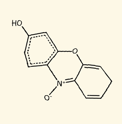 [O-][N+]1=C2C=CCC=C2Oc2cc(O)ccc21